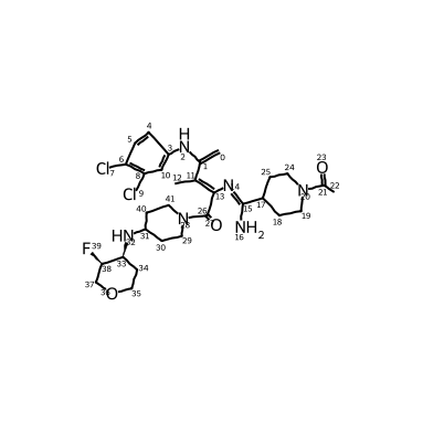 C=C(Nc1ccc(Cl)c(Cl)c1)/C(C)=C(\N=C(/N)C1CCN(C(C)=O)CC1)C(=O)N1CCC(N[C@H]2CCOC[C@H]2F)CC1